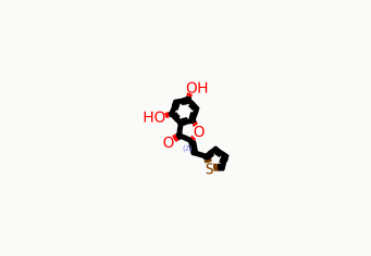 O=C1/C(=C/c2cccs2)Oc2cc(O)cc(O)c21